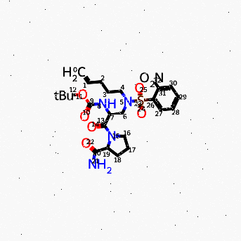 C=CCCCN(C[C@H](NC(=O)OC(C)(C)C)C(=O)N1CCCC1C(N)=O)S(=O)(=O)c1ccccc1[N+](=O)[O-]